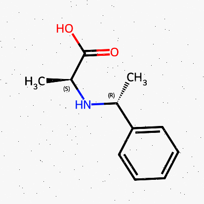 C[C@H](N[C@H](C)c1ccccc1)C(=O)O